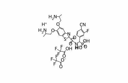 CC(N)COc1cc2nc(S(=O)(=O)NC(c3ccc(C#N)c(F)c3)P(=O)(O)O)sc2cc1OCC(C)N.O=C(O)C(F)(F)F.O=C([O-])C(F)(F)F.[H+]